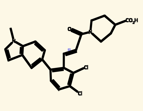 Cn1ccc2cc(-c3c[c]c(Cl)c(Cl)c3/C=C/C(=O)N3CCC(C(=O)O)CC3)ccc21